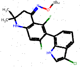 CC1(C)C/C(=N/OC(C)(C)C)c2c(cc(F)c(-c3cccc4c(Cl)c[nH]c34)c2F)N1